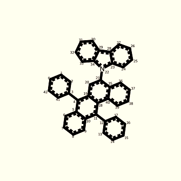 c1ccc(-c2c3ccccc3c(-c3ccccc3)c3c2cc(-n2c4ccccc4c4ccccc42)c2ccccc23)cc1